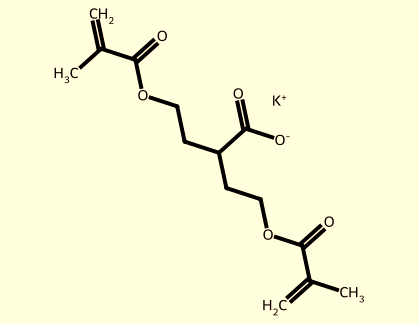 C=C(C)C(=O)OCCC(CCOC(=O)C(=C)C)C(=O)[O-].[K+]